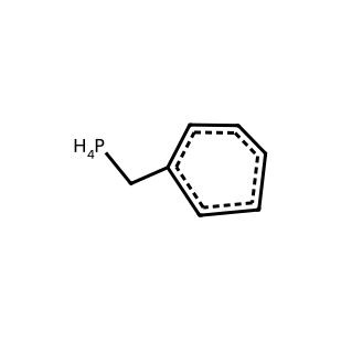 [PH4]Cc1ccccc1